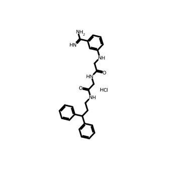 Cl.N=C(N)c1cccc(NCC(=O)NCC(=O)NCCC(c2ccccc2)c2ccccc2)c1